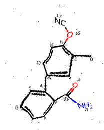 Cc1cc(-c2ccccc2C(N)=O)ccc1OC#N